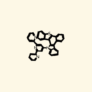 c1ccc(-c2cc(-n3c4ccccc4c4c5ccccc5c5sc6ccccc6c5c43)cc(-c3ccccn3)n2)nc1